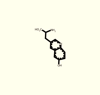 NC(Cc1cnc2ccc(O)cc2c1)C(=O)O